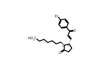 CCc1ccc(C(=O)C=C[C@@H]2CCC(=O)[C@H]2CCCCCCC(=O)O)cc1